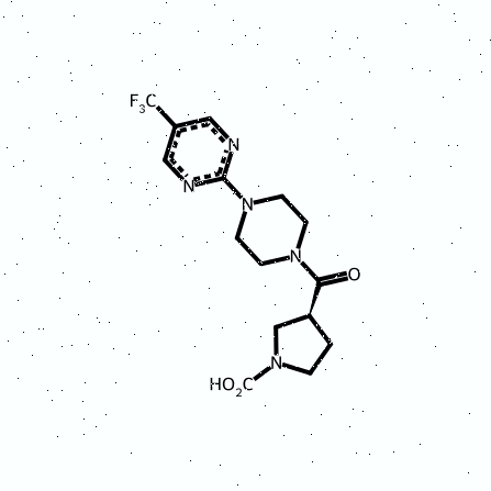 O=C(O)N1CC[C@H](C(=O)N2CCN(c3ncc(C(F)(F)F)cn3)CC2)C1